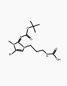 Cn1c(Br)cn(CCCNC(=O)O)/c1=N\C(=O)OC(C)(C)C